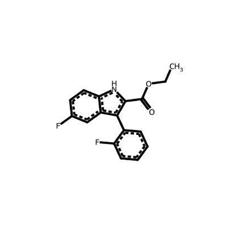 CCOC(=O)c1[nH]c2ccc(F)cc2c1-c1ccccc1F